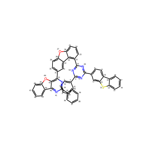 c1ccc(-c2nc(-c3ccc4c(c3)sc3ccccc34)nc(-c3cccc4oc5ccc(-c6nc(-c7ccccc7)nc7c6oc6ccccc67)cc5c34)n2)cc1